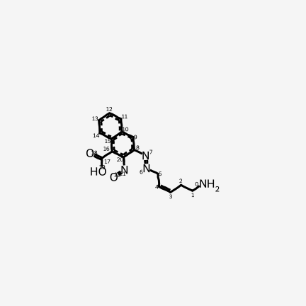 NCC/C=C\C/N=N/c1cc2ccccc2c(C(=O)O)c1N=O